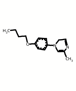 CCCCOc1ccc(N2C=C(C)N=CC2)cc1